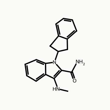 CNc1c(C(N)=O)n(C2Cc3ccccc3C2)c2ccccc12